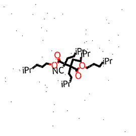 CC(C)CCCOC(=O)C(C#N)(CCC(C)C)C(CCC(C)C)(CCC(C)C)C(=O)OCCCC(C)C